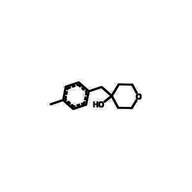 Cc1ccc(CC2(O)CCOCC2)cc1